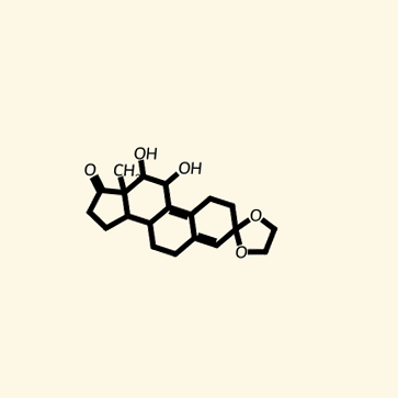 CC12C(=O)CCC1C1CCC3=CC4(CCC3=C1C(O)C2O)OCCO4